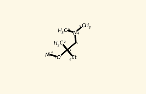 CCC(C)(CN(C)C)[O][Ni]